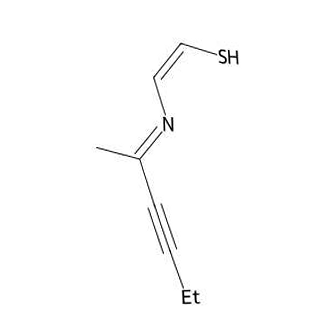 CCC#C/C(C)=N/C=C\S